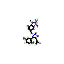 Cn1c(=O)n(C)c2cc(Cn3cnc(C4CC4)c3-c3cc(F)ccc3F)ccc21